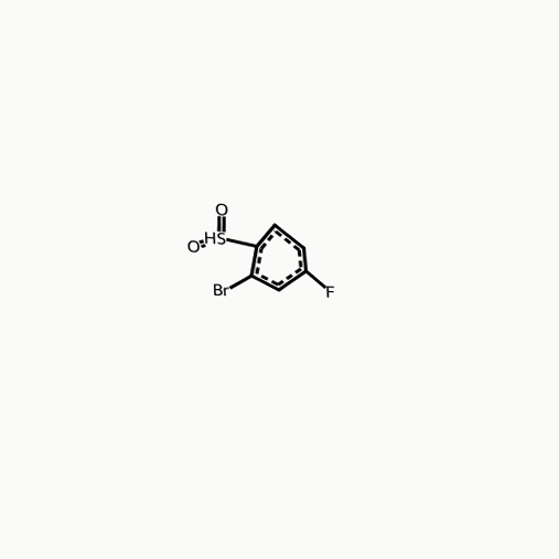 O=[SH](=O)c1ccc(F)cc1Br